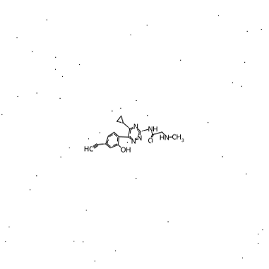 C#Cc1ccc(-c2nnc(NC(=O)CNC)nc2C2CC2)c(O)c1